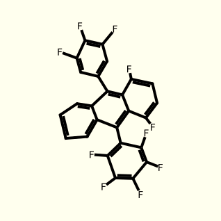 Fc1cc(-c2c3ccccc3c(-c3c(F)c(F)c(F)c(F)c3F)c3c(F)ccc(F)c23)cc(F)c1F